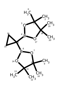 CC1(C)OB(C2(B3OC(C)(C)C(C)(C)O3)CC2)OC1(C)C